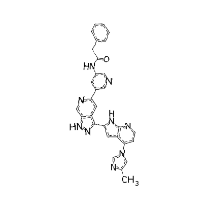 Cc1cn(-c2ccnc3[nH]c(-c4n[nH]c5cnc(-c6cncc(NC(=O)Cc7ccccc7)c6)cc45)cc23)cn1